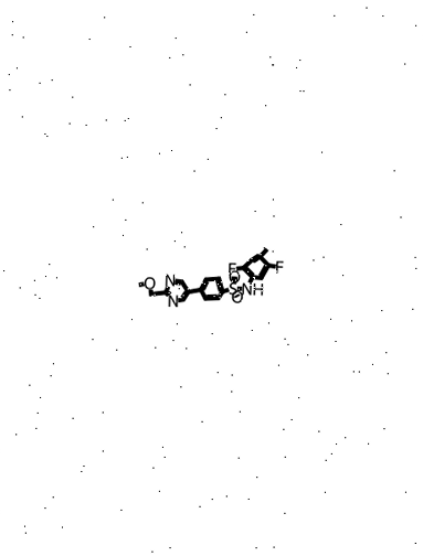 COCc1ncc(-c2ccc(S(=O)(=O)Nc3cc(F)c(C)cc3F)cc2)cn1